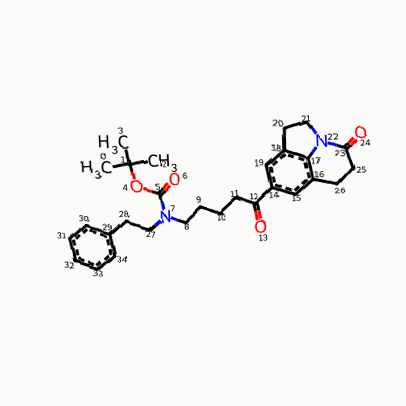 CC(C)(C)OC(=O)N(CCCCC(=O)c1cc2c3c(c1)CCN3C(=O)CC2)CCc1ccccc1